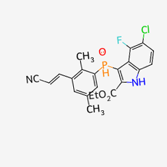 CCOC(=O)c1[nH]c2ccc(Cl)c(F)c2c1[PH](=O)c1cc(C)cc(/C=C/C#N)c1C